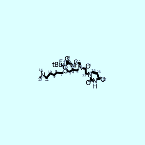 CCOC(=O)CN(CC(COCCCCCN(C)C)NC(=O)OC(C)(C)C)C(=O)Cn1ccc(=O)[nH]c1=O